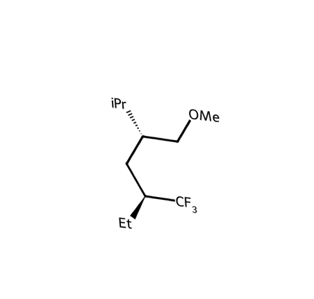 CC[C@@H](C[C@@H](COC)C(C)C)C(F)(F)F